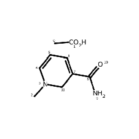 CC(=O)O.CN1C=CC=C(C(N)=O)C1